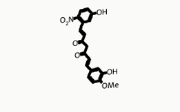 COc1ccc(/C=C/C(=O)CC(=O)/C=C/c2cc(O)ccc2[N+](=O)[O-])cc1O